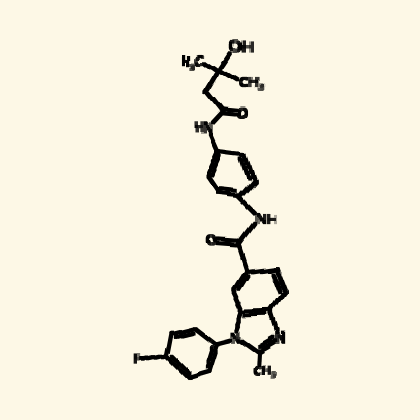 Cc1nc2ccc(C(=O)Nc3ccc(NC(=O)CC(C)(C)O)cc3)cc2n1-c1ccc(F)cc1